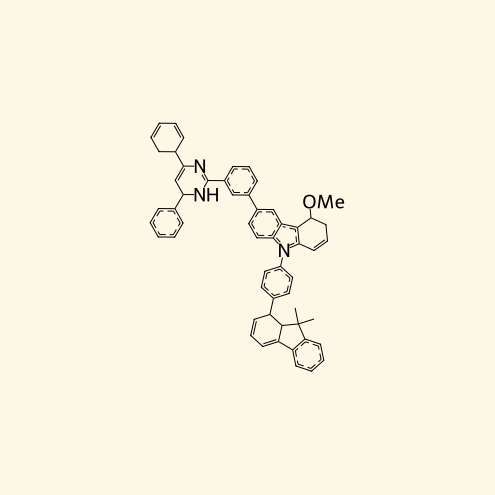 COC1CC=Cc2c1c1cc(-c3cccc(C4=NC(C5C=CC=CC5)=CC(c5ccccc5)N4)c3)ccc1n2-c1ccc(C2C=CC=C3c4ccccc4C(C)(C)C32)cc1